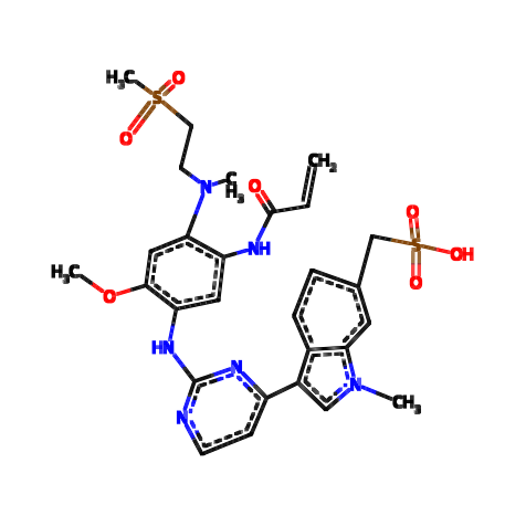 C=CC(=O)Nc1cc(Nc2nccc(-c3cn(C)c4cc(CS(=O)(=O)O)ccc34)n2)c(OC)cc1N(C)CCS(C)(=O)=O